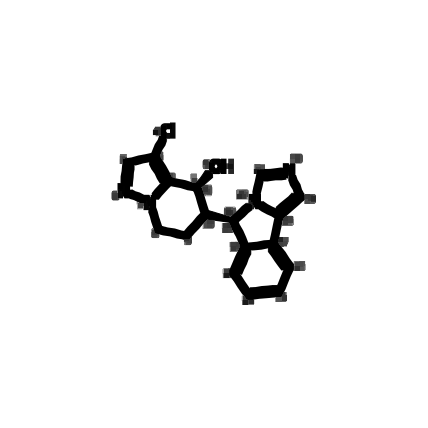 O[C@@H]1c2c(Cl)cnn2CCC1[C@@H]1c2ccccc2-c2cncn21